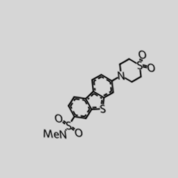 CNS(=O)(=O)c1ccc2c(c1)sc1cc(N3CCS(=O)(=O)CC3)ccc12